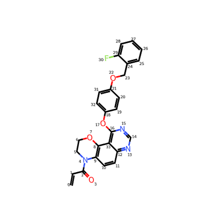 C=CC(=O)N1CCOc2c1ccc1ncnc(Oc3ccc(OCc4ccccc4F)cc3)c21